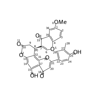 COc1ccc2occ([C@@H]3CC(=O)Oc4cc(O)c5c(=O)cc(-c6ccc(O)c(C)c6)oc5c43)c(=O)c2c1